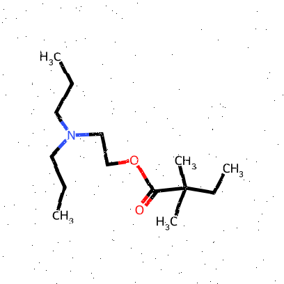 CCCN(CCC)CCOC(=O)C(C)(C)CC